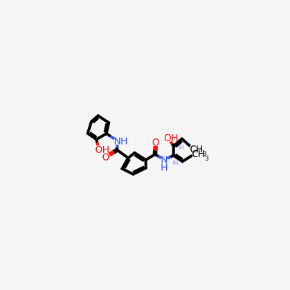 C/C=C(O)\C(=C/C)NC(=O)c1cccc(C(=O)Nc2ccccc2O)c1